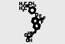 CC(C)(C)[C@H]1CC[C@H](Oc2ccc3cc(CNCC(=O)O)ccc3c2C(F)(F)F)CC1